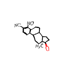 C[C@]12CCC3c4ccc(C#N)c(N=O)c4CCC3C1CCC2=O